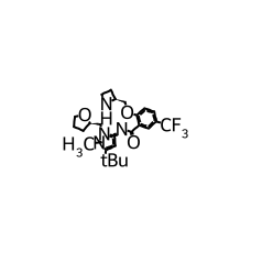 Cn1c(C(C)(C)C)cc(=NC(=O)c2cc(C(F)(F)F)ccc2OC[C@@H]2CCN2)n1C[C@H]1CCCO1